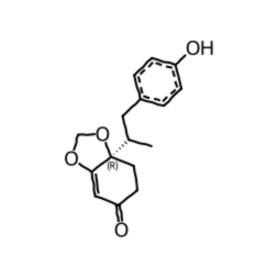 CC(Cc1ccc(O)cc1)[C@]12CCC(=O)C=C1OCO2